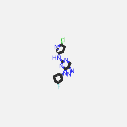 Fc1cccc(-n2nnc3cnc(Nc4ccc(Cl)nc4)nc32)c1